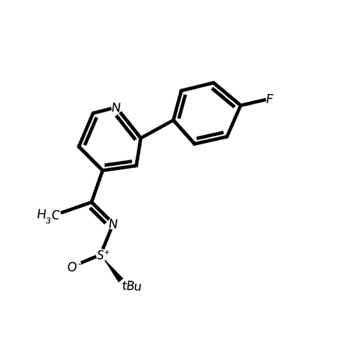 CC(=N[S@+]([O-])C(C)(C)C)c1ccnc(-c2ccc(F)cc2)c1